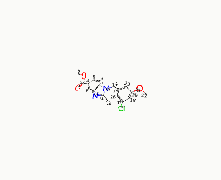 COC(=O)c1ccc2c(c1)nc(C)n2Cc1cc(Cl)cc(OC)c1